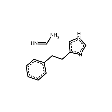 N=CN.c1ccc(CCc2c[nH]cn2)cc1